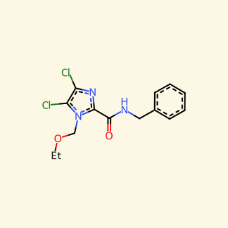 CCOCn1c(C(=O)NCc2ccccc2)nc(Cl)c1Cl